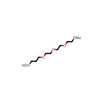 CCCCCCCCCCCOCCOCCOCCOC